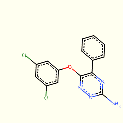 Nc1nnc(Oc2cc(Cl)cc(Cl)c2)c(-c2ccccc2)n1